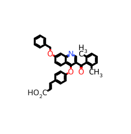 Cc1cccc(C)c1C(=O)c1cnc2cc(OCc3ccccc3)ccc2c1Oc1ccc(/C=C/C(=O)O)cc1